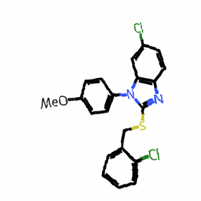 COc1ccc(-n2c(SCc3ccccc3Cl)nc3ccc(Cl)cc32)cc1